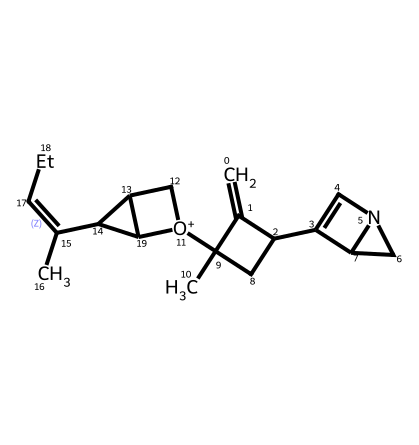 C=C1C(C2=CN3CC23)CC1(C)[O+]1CC2C(/C(C)=C\CC)C21